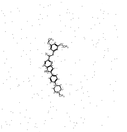 COc1cc(CC(F)c2cnc3[nH]c(-c4ccc(N5CCN(C)CC5)cc4)cc3n2)cc(OC)c1